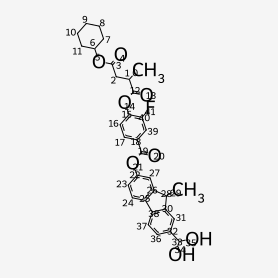 CC(CC(=O)OC1CCCCC1)C(=O)Oc1ccc(C(=O)Oc2ccc3c(c2)C(C)c2cc(C(O)O)ccc2-3)cc1F